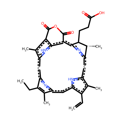 C=Cc1c(C)c2cc3nc(c4c5[nH]c(cc6nc(cc1[nH]2)C(C)=C6CC)c(C)c5C(=O)OC4=O)C(CCC(=O)O)[C@@H]3C